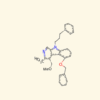 COCc1c(C(=O)O)ncc2c1c1c(OCc3ccccc3)cccc1n2CCCc1ccccc1